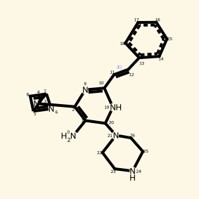 NC1=C(N2CC3=NC2=C3)N=C(/C=C/c2ccccc2)NC1N1CCNCC1